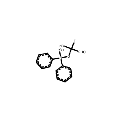 CCCC(F)(C=O)O[Si](c1ccccc1)(c1ccccc1)C(C)(C)C